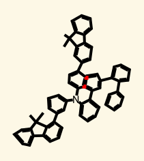 CC1(C)c2ccccc2-c2ccc(-c3ccc(N(c4cccc(-c5cccc6c5C(C)(C)c5ccccc5-6)c4)c4ccccc4-c4cccc(-c5ccccc5-c5ccccc5)c4)cc3)cc21